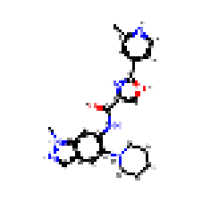 Cc1cc(-c2nc(C(=O)Nc3cc4c(cnn4C)cc3N3CCCCC3)co2)ccn1